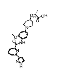 COc1cc(N2CCC(O[C@H](C)C(=O)O)CC2)ccc1NC(=O)c1cccc(-c2cc[nH]n2)n1